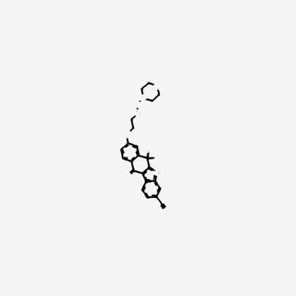 CC1(C)c2cc(OCCNSN3CCOCC3)ccc2C(=O)c2c1[nH]c1cc(C#N)ccc21